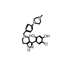 CN1CCN(c2ccc(CN3CCc4[nH]nc(-c5cc(Cl)c(O)cc5O)c4C3)cc2)CC1